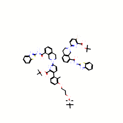 CC(C)(C)OC(=O)c1nc(N2CCc3cccc(C(=O)Nc4nc5ccccc5s4)c3C2)ccc1Br.Cc1c(OCCCO[Si](C)(C)C(C)(C)C)cccc1-c1ccc(N2CCc3cccc(C(=O)Nc4nc5ccccc5s4)c3C2)nc1C(=O)OC(C)(C)C